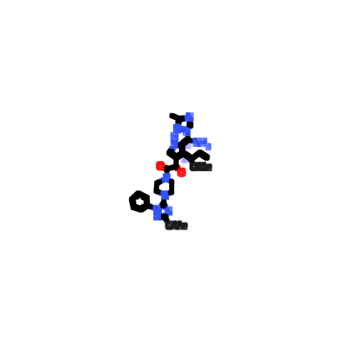 C=C/C(OC)=c1/c(C(=O)C(=O)N2CCN(c3nc(OC)nn3-c3ccccc3)CC2)c[nH]/c1=C(/N)n1cnc(C)n1